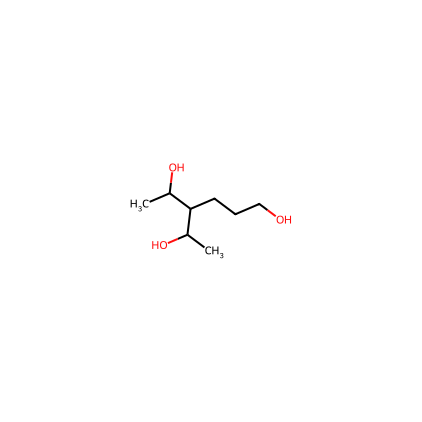 CC(O)C(CCCO)C(C)O